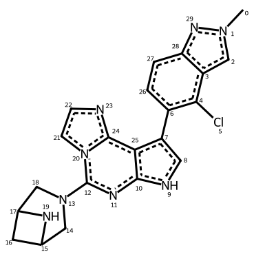 Cn1cc2c(Cl)c(-c3c[nH]c4nc(N5CC6CC(C5)N6)n5ccnc5c34)ccc2n1